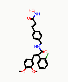 COc1ccc(/C=C(/C(=O)NCc2ccc(/C=C/C(=O)NO)cc2)c2ccccc2F)cc1OC